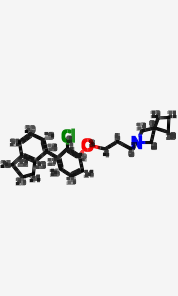 Clc1c(OCCCN2CC3(CCC3)C2)cccc1-c1cccc2c1CCC2